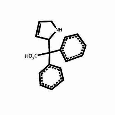 O=C(O)C(c1ccccc1)(c1ccccc1)C1C=CCN1